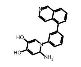 NC1C=C(O)C(O)=CN1c1cccc(-c2cccc3cnccc23)c1